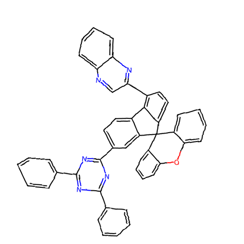 c1ccc(-c2nc(-c3ccccc3)nc(-c3ccc4c(c3)C3(c5ccccc5Oc5ccccc53)c3cccc(-c5cnc6ccccc6n5)c3-4)n2)cc1